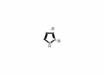 B1=CC=CB1.[B].[B]